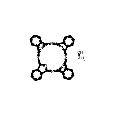 [OH][AlH2].c1ccc2c(c1)-c1nc-2nc2[nH]c(nc3nc(nc4[nH]c(n1)c1ccccc41)-c1ccccc1-3)c1ccccc21